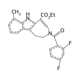 CCOC(=O)C1=CN(C(=O)c2ccc(F)cc2F)CCc2c1[nH]c1c(C)cccc21